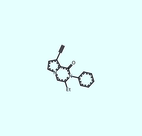 C#Cc1ccn2cc(CC)n(-c3ccccc3)c(=O)c12